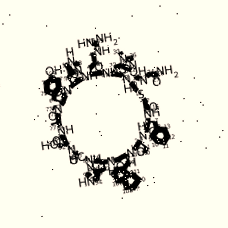 CC[C@@H]1NC(=O)[C@H](Cc2ccccc2)NC(=O)CSC[C@@H](C(=O)NCC(N)=O)NC(=O)[C@H](Cc2cncn2C)NC(=O)[C@H](CCCNC(=N)N)NC(=O)[C@H](Cc2c[nH]cn2)NC(=O)[C@H](Cc2ccc(O)cc2)N(C)C(=O)[C@H](C)NC(=O)[C@H](CO)NC(=O)CNC(=O)[C@H](Cc2c[nH]cn2)NC(=O)[C@H](Cc2cccc3ccccc23)NC1=O